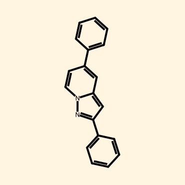 c1ccc(-c2ccn3nc(-c4ccccc4)cc3c2)cc1